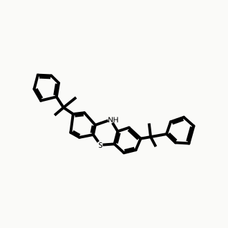 CC(C)(c1ccccc1)c1ccc2c(c1)Nc1cc(C(C)(C)c3ccccc3)ccc1S2